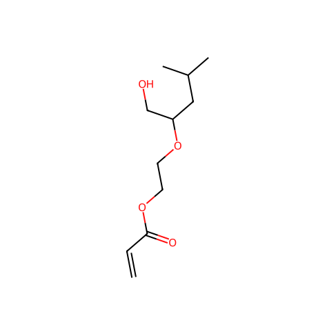 C=CC(=O)OCCOC(CO)CC(C)C